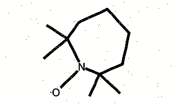 CC1(C)CCCCC(C)(C)N1[O]